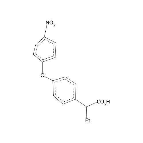 CCC(C(=O)O)c1ccc(Oc2ccc([N+](=O)[O-])cc2)cc1